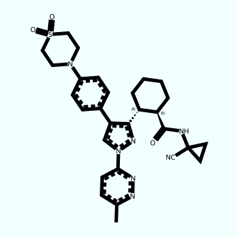 Cc1ccc(-n2cc(-c3ccc(N4CCS(=O)(=O)CC4)cc3)c([C@@H]3CCCC[C@H]3C(=O)NC3(C#N)CC3)n2)nn1